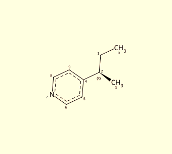 CC[C@@H](C)c1ccncc1